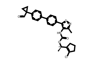 Cc1nsc(-c2ccc(-c3ccc(C4(C=O)CC4)cc3)cc2)c1NC(=O)O[C@H](C)C1=C(Cl)CCC1